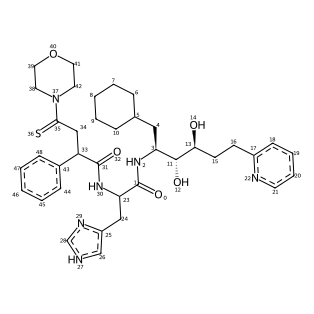 O=C(N[C@@H](CC1CCCCC1)[C@@H](O)[C@@H](O)CCc1ccccn1)C(Cc1c[nH]cn1)NC(=O)C(CC(=S)N1CCOCC1)c1ccccc1